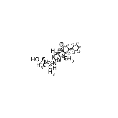 CC(CN(C)C(=O)O)Nc1nccc(N(C)c2cc(-c3ccccc3)cc(=O)n2C)n1